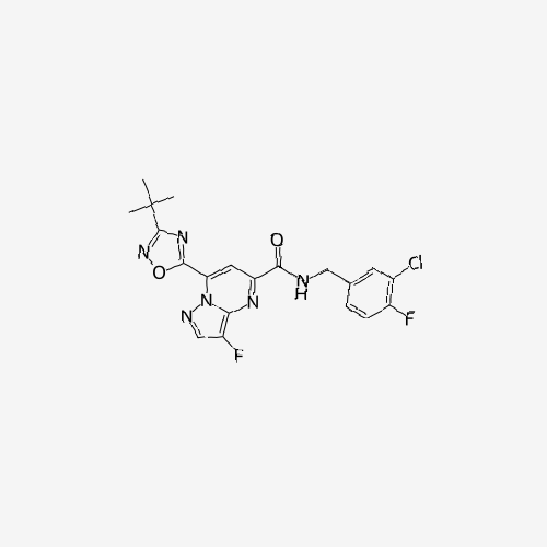 CC(C)(C)c1noc(-c2cc(C(=O)NCc3ccc(F)c(Cl)c3)nc3c(F)cnn23)n1